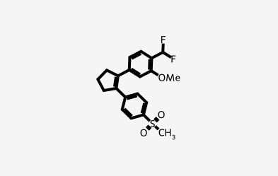 COc1cc(C2=C(c3ccc(S(C)(=O)=O)cc3)CCC2)ccc1C(F)F